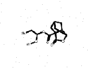 CC(C)OC(CC(C)(C)C)OC(=O)C12CC3CC(OC1=O)C2C3